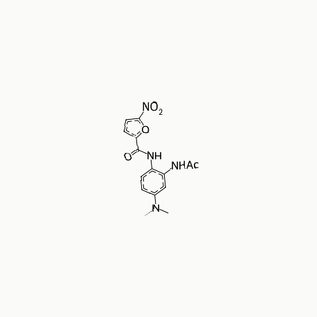 CC(=O)Nc1cc(N(C)C)ccc1NC(=O)c1ccc([N+](=O)[O-])o1